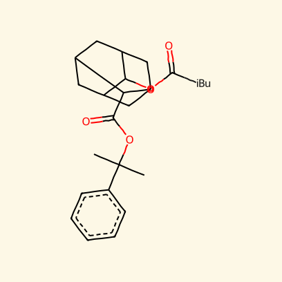 CCC(C)C(=O)OC1C2CC3CC1CC(C2)C3C(=O)OC(C)(C)c1ccccc1